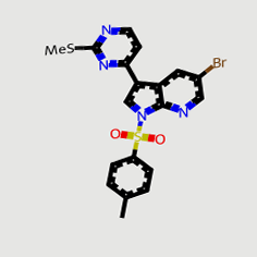 CSc1nccc(-c2cn(S(=O)(=O)c3ccc(C)cc3)c3ncc(Br)cc23)n1